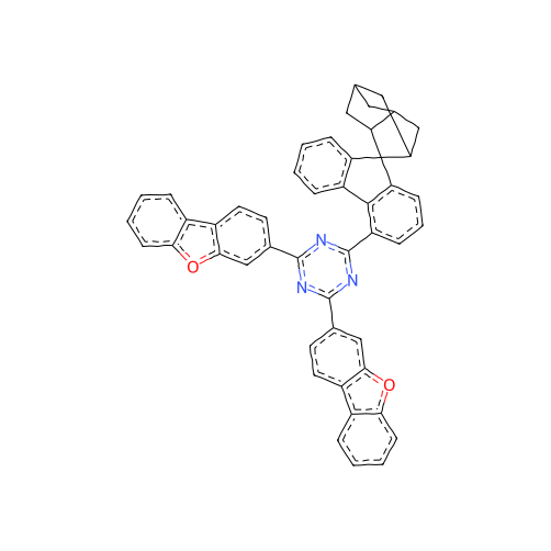 c1ccc2c(c1)-c1c(-c3nc(-c4ccc5c(c4)oc4ccccc45)nc(-c4ccc5c(c4)oc4ccccc45)n3)cccc1C21C2CC3CC(C2)C1C3